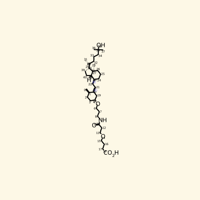 C=C1CC[C@H](OCCCNC(=O)CCOCCCC(=O)O)C/C1=C/C=C1\CCC[C@]2(C)[C@@H]([C@H](C)CCCC(C)(C)O)CC[C@@H]12